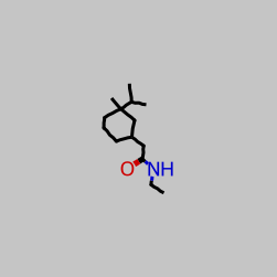 CCNC(=O)CC1CCCC(C)(C(C)C)C1